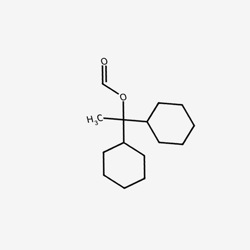 CC(OC=O)(C1CCCCC1)C1CCCCC1